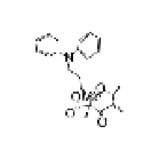 C=C1C(=O)[C@](C)(C(=O)OC)[C@@H](CCCN(c2ccccc2)c2ccccc2)O[C@H]1C